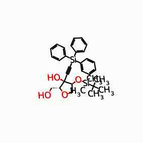 CC(C)(C)[Si](C)(C)O[C@H]1[CH]O[C@H](CO)[C@]1(O)C#C[Si](c1ccccc1)(c1ccccc1)c1ccccc1